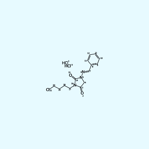 Cl.Cl.O=C1CN(N=Cc2ccccc2)C(=O)N1CCCCCl